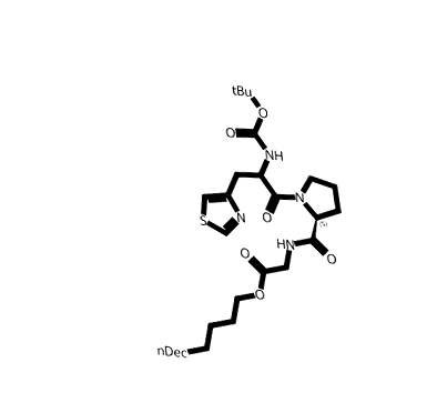 CCCCCCCCCCCCCCOC(=O)CNC(=O)[C@@H]1CCCN1C(=O)C(Cc1cscn1)NC(=O)OC(C)(C)C